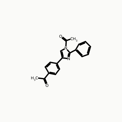 CC(=O)c1ccc(-c2cn(C(C)=O)c(-c3ccccc3)n2)cc1